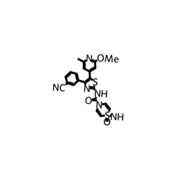 COc1cc(-c2sc(NC(=O)N3C=CS(=N)(=O)C=C3)nc2-c2cccc(C#N)c2)cc(C)n1